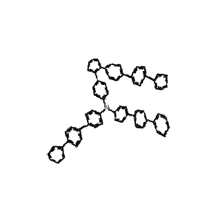 c1ccc(-c2ccc(-c3ccc(-c4ccccc4-c4ccc(N(c5ccc(-c6ccc(-c7ccccc7)cc6)cc5)c5ccc(-c6ccc(-c7ccccc7)cc6)cc5)cc4)cc3)cc2)cc1